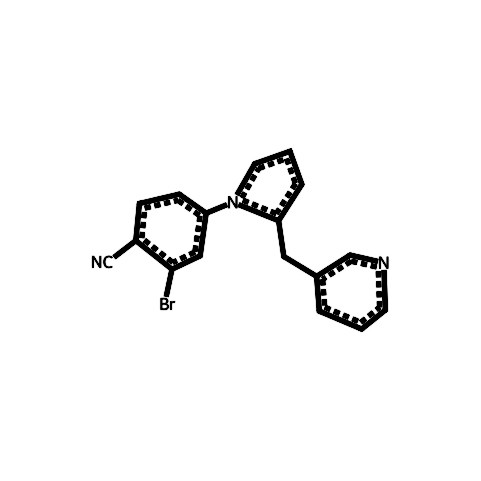 N#Cc1ccc(-n2cccc2Cc2cccnc2)cc1Br